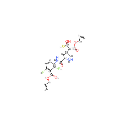 C=CCOC(=O)c1c(F)ccc(NC(=O)C2C[C@@H]([C@@H](C(=O)OCC=C)C(O)=S)CN2)c1F